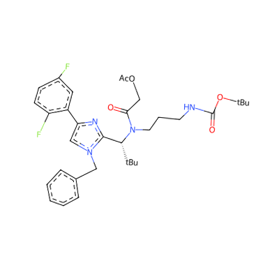 CC(=O)OCC(=O)N(CCCNC(=O)OC(C)(C)C)[C@@H](c1nc(-c2cc(F)ccc2F)cn1Cc1ccccc1)C(C)(C)C